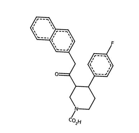 O=C(Cc1ccc2ccccc2c1)C1CN(C(=O)O)CCC1c1ccc(F)cc1